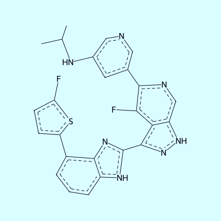 CC(C)Nc1cncc(-c2ncc3[nH]nc(-c4nc5c(-c6ccc(F)s6)cccc5[nH]4)c3c2F)c1